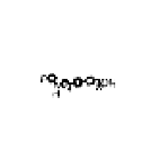 O=C(O)C[C@H]1CC[C@@H](c2ccc(-c3ccc(Nc4cccc(F)c4)cn3)cc2)CC1